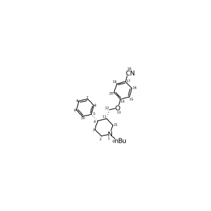 CCCCN1CC[C@H](c2ccccc2)[C@H](COc2ccc(C#N)cc2)C1